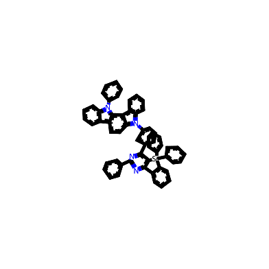 c1ccc(-c2nc(-c3cccc(-n4c5ccccc5c5c4ccc4c6ccccc6n(-c6ccccc6)c45)c3)c3c(n2)-c2ccccc2[Si]3(c2ccccc2)c2ccccc2)cc1